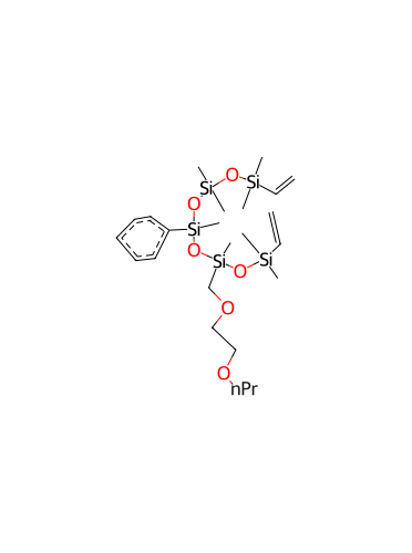 C=C[Si](C)(C)O[Si](C)(C)O[Si](C)(O[Si](C)(COCCOCCC)O[Si](C)(C)C=C)c1ccccc1